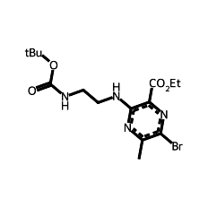 CCOC(=O)c1nc(Br)c(C)nc1NCCNC(=O)OC(C)(C)C